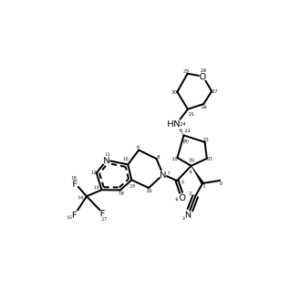 CC(C#N)[C@]1(C(=O)N2CCc3ncc(C(F)(F)F)cc3C2)CC[C@@H](NC2CCOCC2)C1